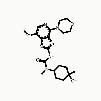 COc1cnc(N2CCOCC2)c2sc(NC(=O)N(C)C3CCC(C)(O)CC3)nc12